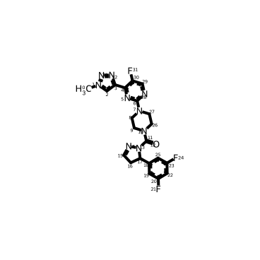 Cn1cc(-c2nc(N3CCN(C(=O)N4N=CCC4c4cc(F)cc(F)c4)CC3)ncc2F)nn1